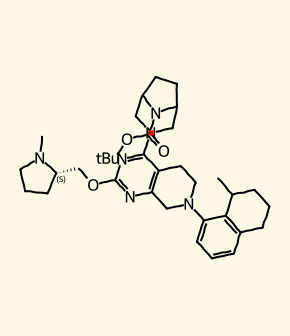 CC1CCCc2cccc(N3CCc4c(nc(OC[C@@H]5CCCN5C)nc4N4CC5CCC(C4)N5C(=O)OC(C)(C)C)C3)c21